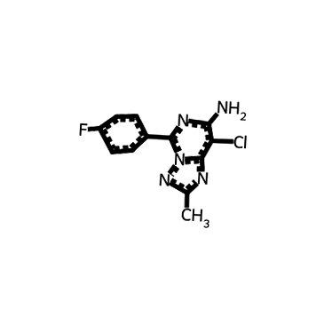 Cc1nc2c(Cl)c(N)nc(-c3ccc(F)cc3)n2n1